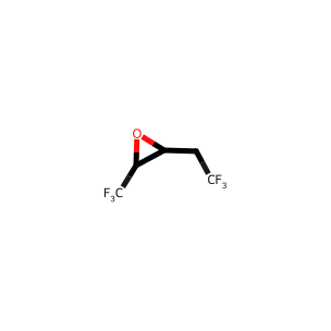 FC(F)(F)CC1OC1C(F)(F)F